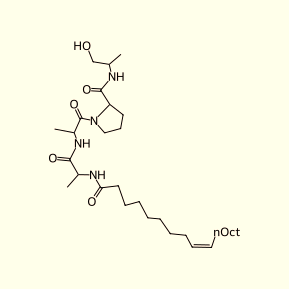 CCCCCCCC/C=C\CCCCCCCC(=O)NC(C)C(=O)NC(C)C(=O)N1CCCC1C(=O)NC(C)CO